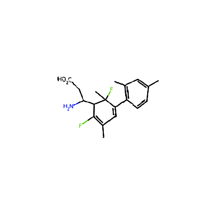 CC1=C(F)C(C(N)CC(=O)O)C(C)(F)C(c2ccc(C)cc2C)=C1